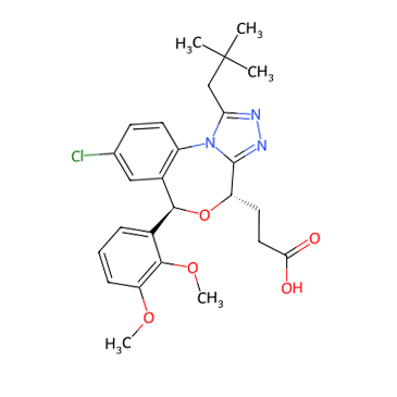 COc1cccc([C@@H]2O[C@@H](CCC(=O)O)c3nnc(CC(C)(C)C)n3-c3ccc(Cl)cc32)c1OC